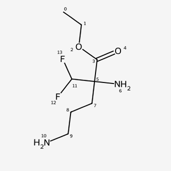 CCOC(=O)C(N)(CCCN)C(F)F